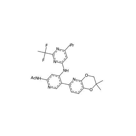 CC(=O)Nc1cc(Nc2cc(C(C)C)nc(C(C)(F)F)n2)c(-c2ccc3c(n2)OCC(C)(C)O3)cn1